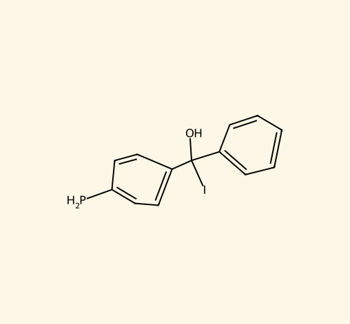 OC(I)(c1ccccc1)c1ccc(P)cc1